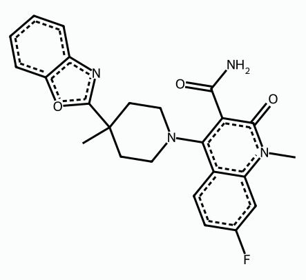 Cn1c(=O)c(C(N)=O)c(N2CCC(C)(c3nc4ccccc4o3)CC2)c2ccc(F)cc21